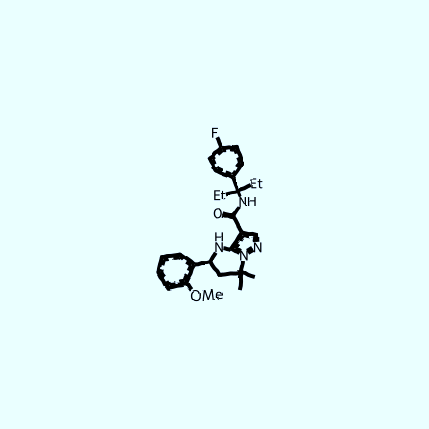 CCC(CC)(NC(=O)c1cnn2c1NC(c1ccccc1OC)CC2(C)C)c1ccc(F)cc1